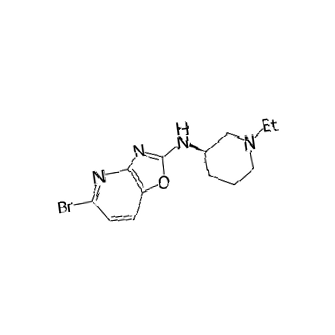 CCN1CCC[C@@H](Nc2nc3nc(Br)ccc3o2)C1